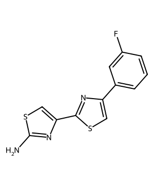 Nc1nc(-c2nc(-c3cccc(F)c3)cs2)cs1